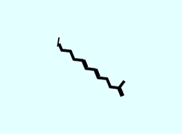 C=C(C)CCC=CC=CCCCI